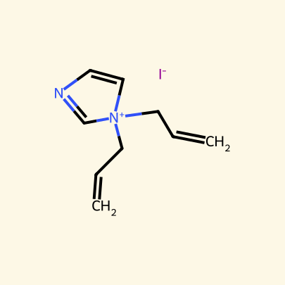 C=CC[N+]1(CC=C)C=CN=C1.[I-]